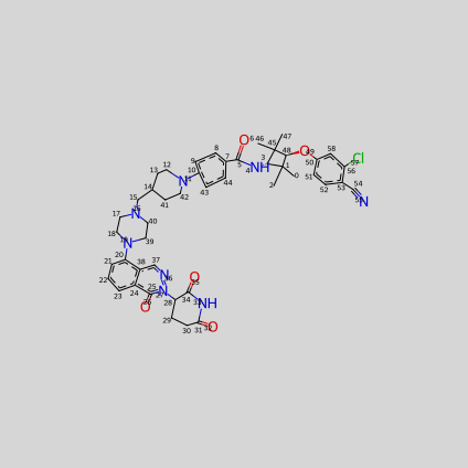 CC1(C)[C@H](NC(=O)c2ccc(N3CCC(CN4CCN(c5cccc6c(=O)n(C7CCC(=O)NC7=O)ncc56)CC4)CC3)cc2)C(C)(C)[C@H]1Oc1ccc(C#N)c(Cl)c1